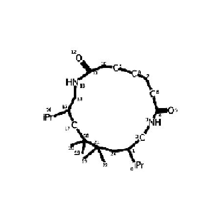 CC(C)C1CNC(=O)CCCCCC(=O)NCC(C(C)C)CC(C)(C)C(C)(C)C1